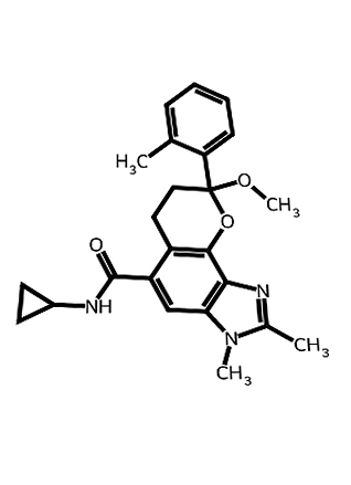 COC1(c2ccccc2C)CCc2c(C(=O)NC3CC3)cc3c(nc(C)n3C)c2O1